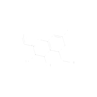 C=CNC(C)C(C)C1=C(C)C=C(C)CC1OC